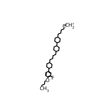 [CH2+][CH-]CCCCC1CCC(C2CCC(CCCCC3CCC(c4ccc(OCCCC)c(F)c4)CC3)CC2)CC1